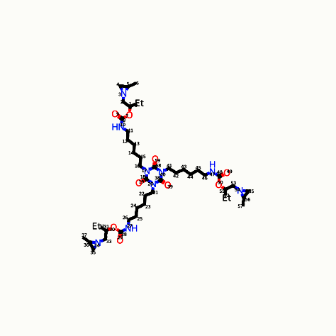 CCC(CN1CC1C)OC(=O)NCCCCCCn1c(=O)n(CCCCCCNC(=O)OC(CC)CN2CC2C)c(=O)n(CCCCCCNC(=O)OC(CC)CN2CC2C)c1=O